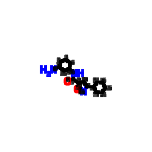 Nc1cccc(NC(=O)c2cc(-c3ccccc3)no2)c1